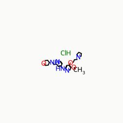 COc1cnc(Nc2ccnc(CNC3CCOCC3)c2)cc1OCCCN1CCCC1.Cl